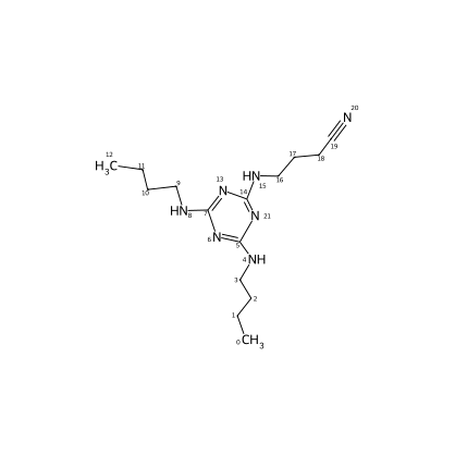 CCCCNc1nc(NCCCC)nc(NCCCC#N)n1